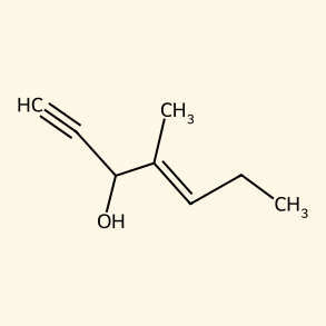 C#CC(O)/C(C)=C/CC